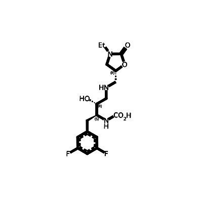 CCN1C[C@@H](CNC[C@@H](O)[C@H](Cc2cc(F)cc(F)c2)NC(=O)O)OC1=O